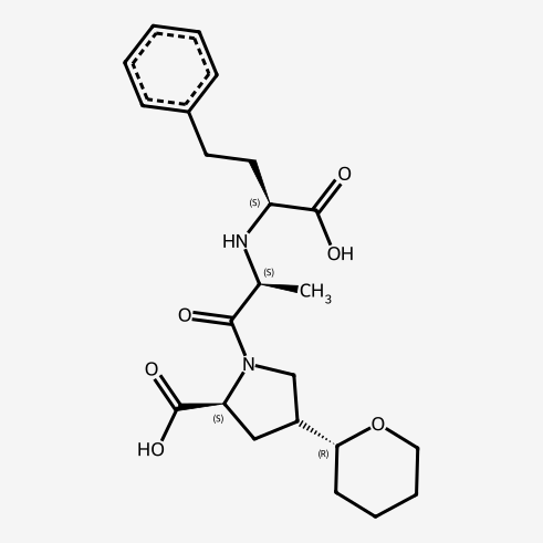 C[C@H](N[C@@H](CCc1ccccc1)C(=O)O)C(=O)N1CC([C@H]2CCCCO2)C[C@H]1C(=O)O